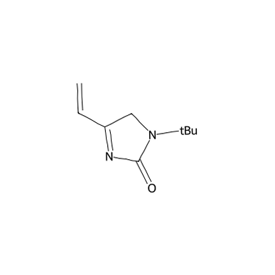 C=CC1=NC(=O)N(C(C)(C)C)C1